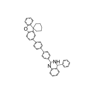 c1ccc(C2NC(c3ccc(-c4ccc(-c5ccc6c(c5)C5(CCCCC5)c5ccccc5O6)cc4)cc3)=Nc3ccccc32)cc1